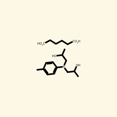 Cc1ccc(N(CC(C)O)CC(C)O)cc1.O=C(O)CCCCC(=O)O